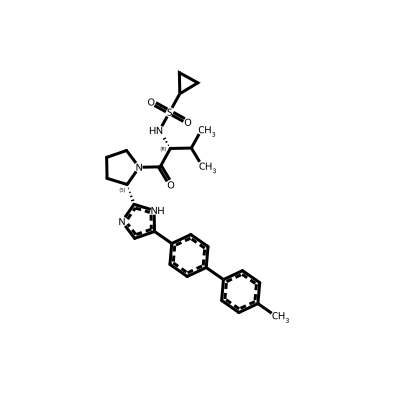 Cc1ccc(-c2ccc(-c3cnc([C@@H]4CCCN4C(=O)[C@H](NS(=O)(=O)C4CC4)C(C)C)[nH]3)cc2)cc1